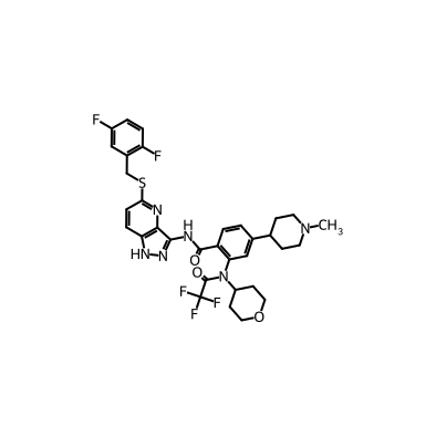 CN1CCC(c2ccc(C(=O)Nc3n[nH]c4ccc(SCc5cc(F)ccc5F)nc34)c(N(C(=O)C(F)(F)F)C3CCOCC3)c2)CC1